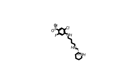 O=[SH](=O)c1cc(Cl)c(NCCCCNC[C@H]2CCCCN2)cc1F